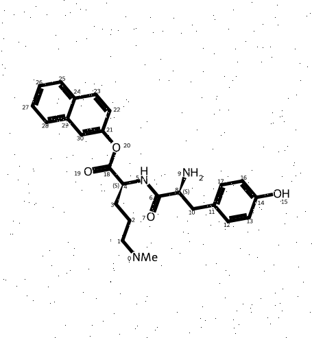 CNCCC[C@H](NC(=O)[C@@H](N)Cc1ccc(O)cc1)C(=O)Oc1ccc2ccccc2c1